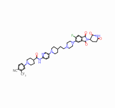 N#Cc1ccc(N2CCC(C(=O)Nc3ccc(N4CCC(CCN5CCN(c6cc7c(cc6F)C(=O)N(C6CCC(=O)NC6=O)C7=O)CC5)CC4)cn3)CC2)cc1C(F)(F)F